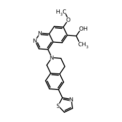 COc1cc2nncc(N3CCc4cc(-c5nccs5)ccc4C3)c2cc1C(C)O